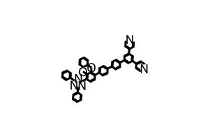 C1=CC2Oc3c(-c4ccc(-c5ccc(-c6cc(-c7ccncc7)cc(-c7ccncc7)c6)cc5)cc4)ccc(-c4nc(-c5ccccc5)nc(-c5ccccc5)n4)c3OC2C=C1